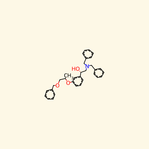 C[C@@H](COCc1ccccc1)Oc1cccc([C@H](O)CN(Cc2ccccc2)Cc2ccccc2)c1